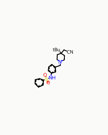 CC(C)(C)C1(CC#N)CCN(Cc2cccc(NS(=O)(=O)c3ccccc3)c2)CC1